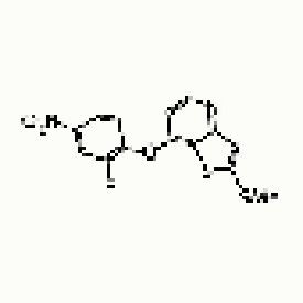 CSc1cc2nccc(Oc3ccc([N+](=O)[O-])cc3F)c2s1